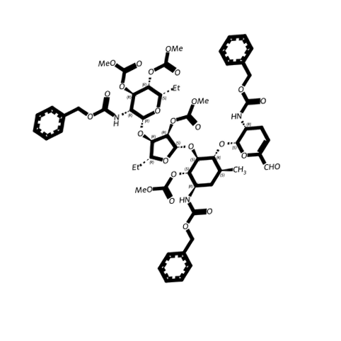 CC[C@@H]1O[C@H](O[C@H]2[C@@H](OC(=O)OC)[C@H](O[C@@H]3[C@@H](OC(=O)OC)[C@H](NC(=O)OCc4ccccc4)C[C@H](C)[C@H]3O[C@H]3OC(C=O)=CC[C@H]3NC(=O)OCc3ccccc3)O[C@@H]2CC)[C@H](NC(=O)OCc2ccccc2)[C@@H](OC(=O)OC)[C@@H]1OC(=O)OC